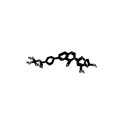 Cc1cn2nc(-n3cnc4ccc(N5CCN(C(=O)OC(C)(C)C)CC5)cc4c3=O)cc(C)c2n1